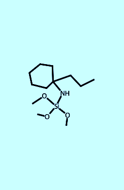 CCCC1(N[Si](OC)(OC)OC)CCCCC1